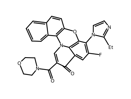 CCc1nccn1-c1c(F)cc2c(=O)c(C(=O)N3CCOCC3)cn3c2c1Oc1ccc2ccccc2c1-3